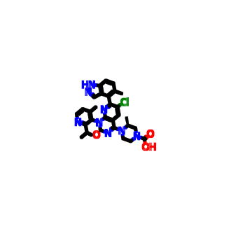 Cc1ccnc(C(C)C)c1-n1c(=O)nc(N2CCN(C(=O)O)C[C@@H]2C)c2cc(Cl)c(-c3c(C)ccc4[nH]ncc34)nc21